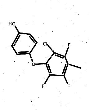 Cc1c(F)c(F)c(Oc2ccc(O)cc2)c(Cl)c1F